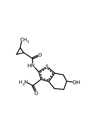 CC1CC1C(=O)Nc1sc2c(c1C(N)=O)CCC(O)C2